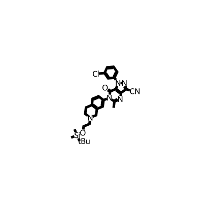 Cc1nc2c(C#N)nn(-c3cccc(Cl)c3)c2c(=O)n1-c1ccc2c(c1)CN(CCO[Si](C)(C)C(C)(C)C)CC2